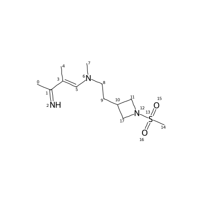 CC(=N)/C(C)=C/N(C)CCC1CN(S(C)(=O)=O)C1